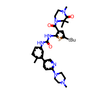 Cc1ccc(NC(=O)Nc2sc(C(C)(C)C)cc2C(=O)N2CCN(C)C(=O)C2(C)C)cc1-c1ccc(N2CCN(C)CC2)nc1